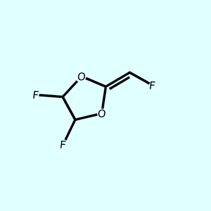 FC=C1OC(F)C(F)O1